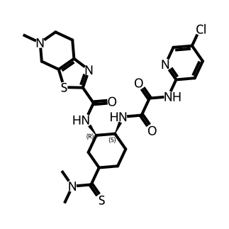 CN1CCc2nc(C(=O)N[C@@H]3CC(C(=S)N(C)C)CC[C@@H]3NC(=O)C(=O)Nc3ccc(Cl)cn3)sc2C1